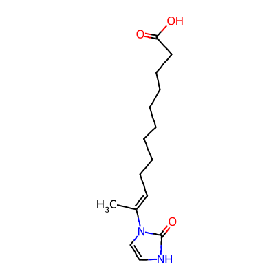 CC(=CCCCCCCCCC(=O)O)n1cc[nH]c1=O